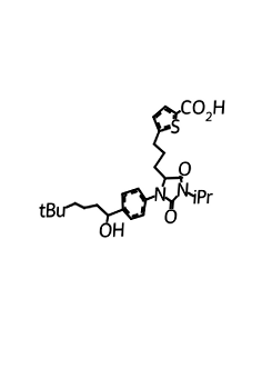 CC(C)N1C(=O)C(CCCc2ccc(C(=O)O)s2)N(c2ccc(C(O)CCCC(C)(C)C)cc2)C1=O